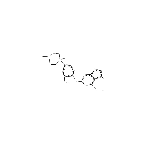 CNc1nc(Nc2ccc([PH]3(O)CCN(C(C)=O)CC3)cc2OC)nc2[nH]cc(Cl)c12